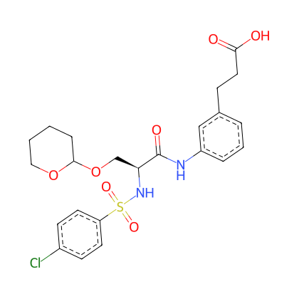 O=C(O)CCc1cccc(NC(=O)[C@H](COC2CCCCO2)NS(=O)(=O)c2ccc(Cl)cc2)c1